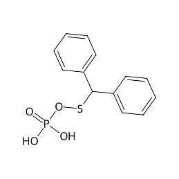 O=P(O)(O)OSC(c1ccccc1)c1ccccc1